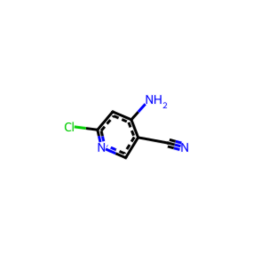 N#Cc1cnc(Cl)cc1N